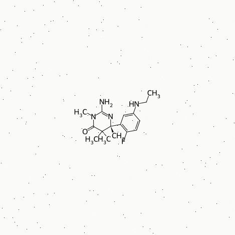 CCNc1ccc(F)c([C@@]2(C)N=C(N)N(C)C(=O)C2(C)C)c1